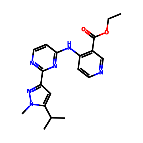 CCOC(=O)c1cnccc1Nc1ccnc(-c2cc(C(C)C)n(C)n2)n1